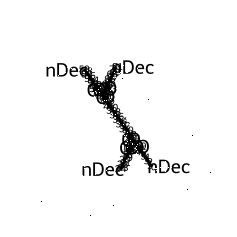 CCCCCCCCCCCCCCCCCC(=O)OCC(COC(=O)CCCCCCCCCCCCCCCCC)OC(=O)CCCCCCC/C=C/CCCCCCCC(=O)OC(COC(=O)CCCCCCCCCCCCCCCCC)COC(=O)CCCCCCCCCCCCCCCCC